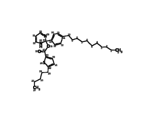 CCCCCCCCCCCc1ccc(C2(OC(=O)c3ccc(CCCCC)s3)N=CC=CN2)cc1